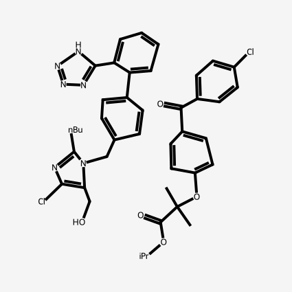 CC(C)OC(=O)C(C)(C)Oc1ccc(C(=O)c2ccc(Cl)cc2)cc1.CCCCc1nc(Cl)c(CO)n1Cc1ccc(-c2ccccc2-c2nnn[nH]2)cc1